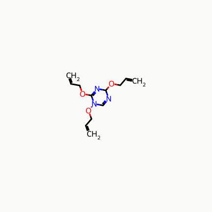 C=CCOC1=NC(OCC=C)N=CN1OCC=C